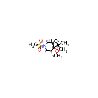 COC1(C(C)(C)C)CCN(S(C)(=O)=O)CC1